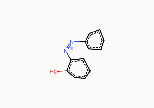 Oc1ccccc1/N=N\c1ccccc1